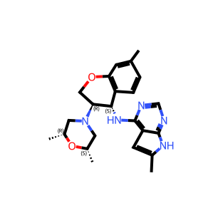 Cc1ccc2c(c1)OC[C@H](N1C[C@@H](C)O[C@@H](C)C1)[C@H]2Nc1ncnc2[nH]c(C)cc12